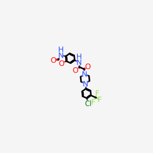 O=C(Nc1ccc2[nH]c(=O)oc2c1)C(=O)N1CCN(c2ccc(Cl)c(C(F)(F)F)c2)CC1